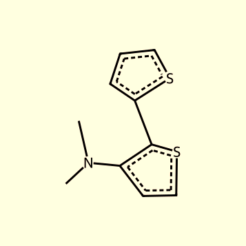 CN(C)c1ccsc1-c1cccs1